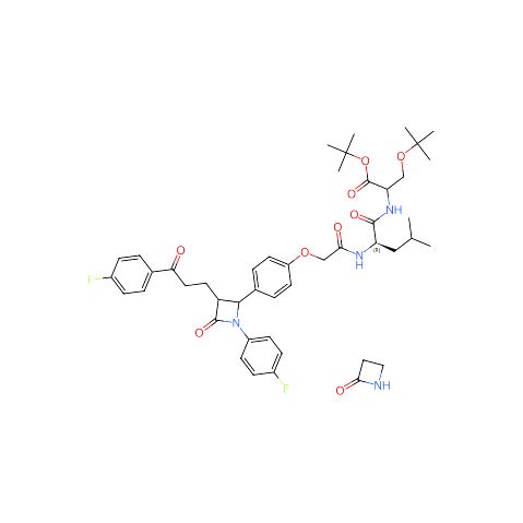 CC(C)C[C@@H](NC(=O)COc1ccc(C2C(CCC(=O)c3ccc(F)cc3)C(=O)N2c2ccc(F)cc2)cc1)C(=O)NC(COC(C)(C)C)C(=O)OC(C)(C)C.O=C1CCN1